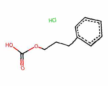 Cl.O=C(O)OCCCc1ccccc1